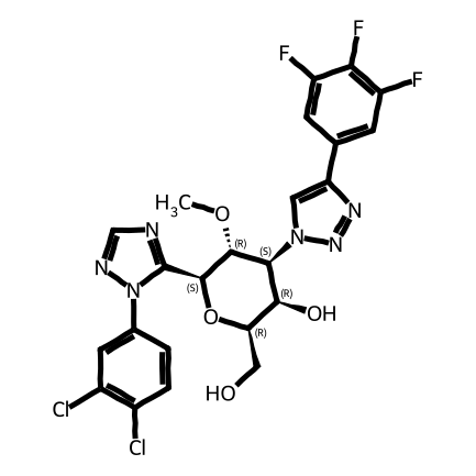 CO[C@@H]1[C@@H](n2cc(-c3cc(F)c(F)c(F)c3)nn2)[C@@H](O)[C@@H](CO)O[C@H]1c1ncnn1-c1ccc(Cl)c(Cl)c1